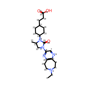 CCN1CCc2ncc(N3CC(C)N(C4CCC(CCC(=O)O)CC4)C3=O)nc2CC1